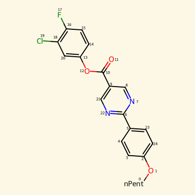 CCCCCOc1ccc(-c2ncc(C(=O)Oc3ccc(F)c(Cl)c3)cn2)cc1